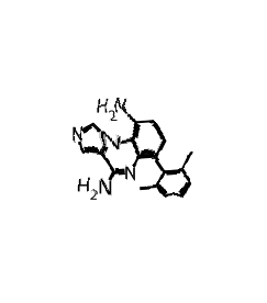 Cc1cccc(C)c1-c1ccc(N)c2c1nc(N)c1cncn12